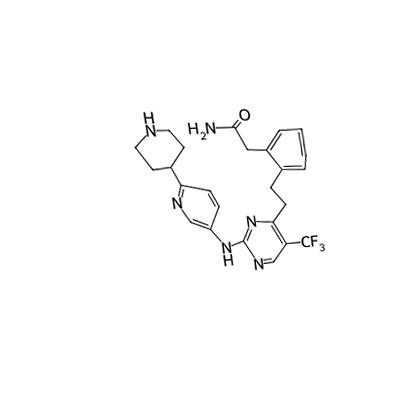 NC(=O)Cc1ccccc1CCc1nc(Nc2ccc(C3CCNCC3)nc2)ncc1C(F)(F)F